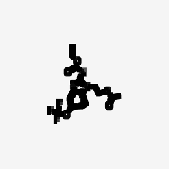 C=COC(=O)/N=c1\sc2cc(OC(F)(F)F)ccc2n1CCSC(C)=O